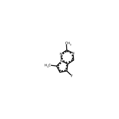 Cc1ncc2c(F)cc(C)n2n1